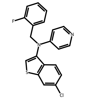 Fc1ccccc1CN(c1ccncc1)c1csc2cc(Cl)ccc12